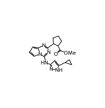 COC(=O)C1CCCC1c1nc(Nc2cc(C3CC3)[nH]n2)n2cccc2n1